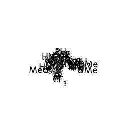 CC[C@H](NC(=O)OC)C(=O)N1CCC[C@H]1c1nc2cc([C@H]3CC[C@H](c4cc5nc([C@@H]6CCCN6C(=O)[C@@H](NC(=O)OC)[C@@H](C)OC)[nH]c5cc4F)N3c3cc(F)c(N4CCN(c5ccc(C(F)(F)F)cc5)CC4)c(F)c3)c(P)cc2[nH]1